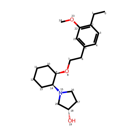 CCc1ccc(CCO[C@@H]2CCCC[C@@H]2N2CC[C@H](O)C2)cc1OC